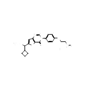 COC(c1cc2ncn(-c3ccc(OCCN(C)C)cc3)c(=O)c2s1)C1CCC1